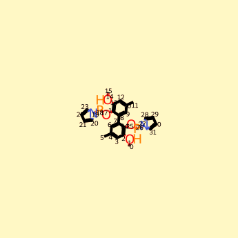 COc1cc(C)cc(-c2cc(C)cc(OC)c2OPn2cccc2)c1OPn1cccc1